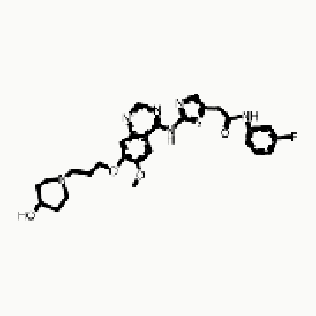 COc1cc2c(Nc3ncc(CC(=O)Nc4cccc(F)c4)s3)ncnc2cc1OCCCN1CCC(O)CC1